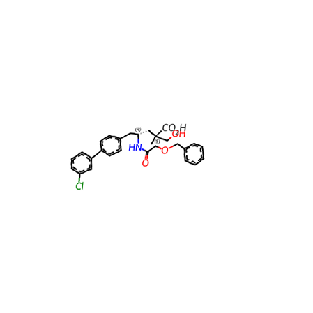 C[C@@](CO)(C[C@@H](Cc1ccc(-c2cccc(Cl)c2)cc1)NC(=O)COCc1ccccc1)C(=O)O